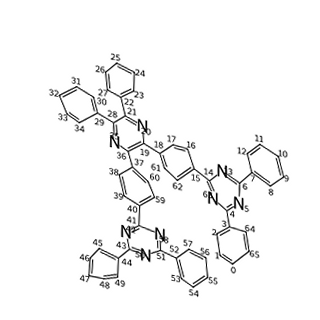 c1ccc(-c2nc(-c3ccccc3)nc(-c3ccc(-c4nc(-c5ccccc5)c(-c5ccccc5)nc4-c4ccc(-c5nc(-c6ccccc6)nc(-c6ccccc6)n5)cc4)cc3)n2)cc1